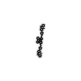 CN1c2ccccc2C(C)(C)c2ccc(-c3ccc(/C=C/c4ccc5c(c4)C4(c6ccccc6-c6ccccc64)c4cc(/C=C/c6ccc(-c7ccc8c(c7)N(C)c7ccccc7C8(C)C)cc6)ccc4-5)cc3)cc21